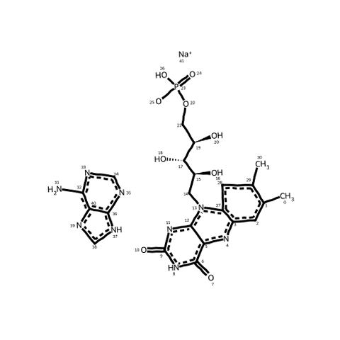 Cc1cc2nc3c(=O)[nH]c(=O)nc-3n(C[C@H](O)[C@H](O)[C@H](O)COP(=O)([O-])O)c2cc1C.Nc1ncnc2[nH]cnc12.[Na+]